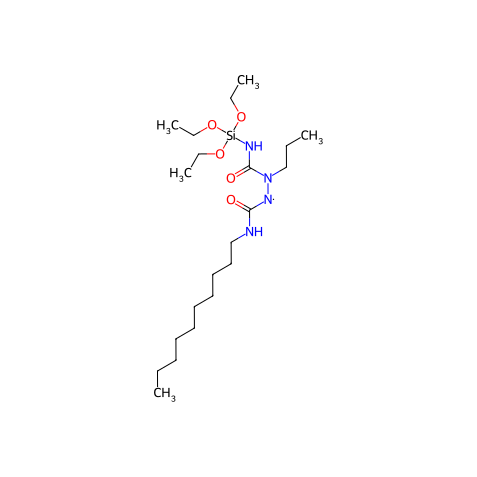 CCCCCCCCCCNC(=O)[N]N(CCC)C(=O)N[Si](OCC)(OCC)OCC